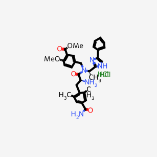 COC(=O)c1cc(CN(C(=O)[C@@H](N)Cc2c(C)cc(C(N)=O)cc2C)[C@@H](C)c2nc(-c3ccccc3)c[nH]2)ccc1OC.Cl.Cl